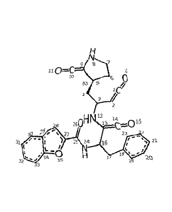 O=C=CC(C[C@@H]1CCNC1=C=O)NC(=C=O)C(Cc1ccccc1)NC(=O)c1cc2ccccc2o1